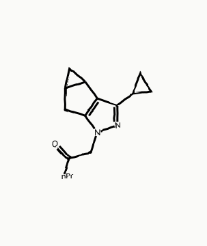 CCCC(=O)Cn1nc(C2CC2)c2c1CC1CC21